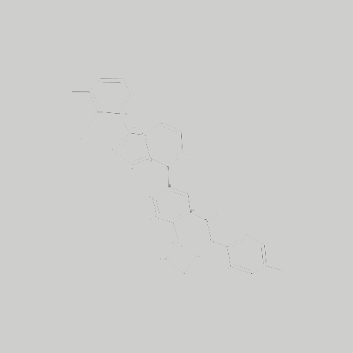 O=C(Nc1ccc(F)cc1)c1cc(-c2cccn3c(-c4cccc(F)c4F)ncc23)cnc1N1CCC1